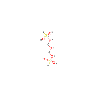 CS(=O)(=O)OCOCOS(C)(=O)=O